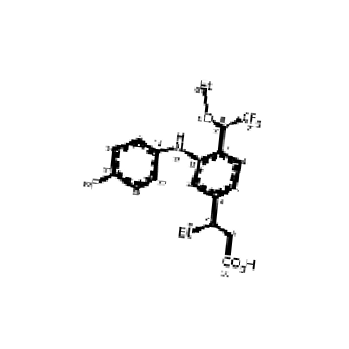 CCO[C@H](c1ccc(C(CC)CC(=O)O)cc1Nc1ccc(F)cc1)C(F)(F)F